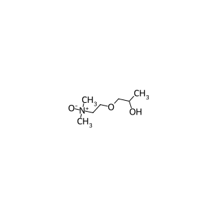 CC(O)COCC[N+](C)(C)[O-]